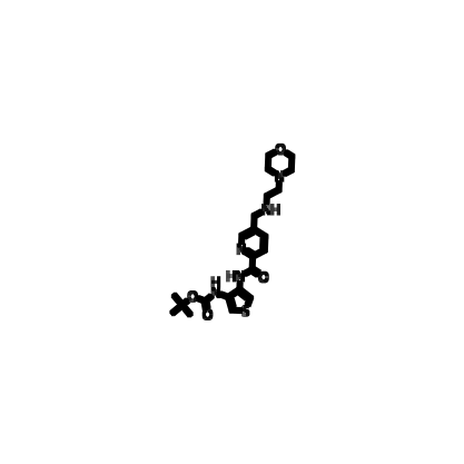 CC(C)(C)OC(=O)Nc1cscc1NC(=O)c1ccc(CNCCN2CCOCC2)cn1